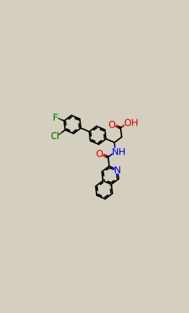 O=C(O)CC(NC(=O)c1cc2ccccc2cn1)c1ccc(-c2ccc(F)c(Cl)c2)cc1